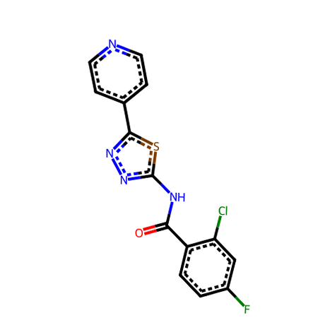 O=C(Nc1nnc(-c2ccncc2)s1)c1ccc(F)cc1Cl